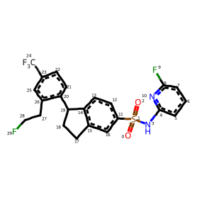 O=S(=O)(Nc1cccc(F)n1)c1ccc2c(c1)CCC2c1ccc(C(F)(F)F)cc1CCF